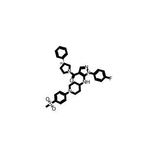 CS(=O)(=O)c1ccc(N2CCC(Nc3c(C(=O)N4CC[C@H](c5ccccc5)C4)cnn3-c3ccc(F)cc3)CC2)cc1